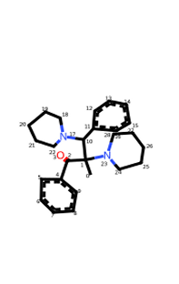 CC(C(=O)c1ccccc1)(C(c1ccccc1)N1CCCCC1)N1CCCCC1